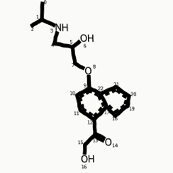 CC(C)NCC(O)COc1ccc(C(=O)CO)c2ccccc12